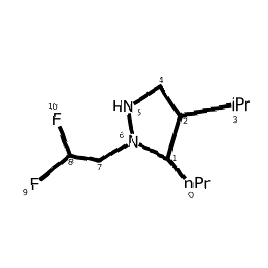 CCCC1C(C(C)C)CNN1CC(F)F